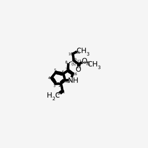 C=Cc1cccc2c(C[C@H](CC)C(=O)OC)c[nH]c12